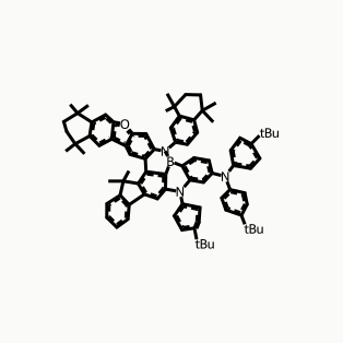 CC(C)(C)c1ccc(N(c2ccc(C(C)(C)C)cc2)c2ccc3c(c2)N(c2ccc(C(C)(C)C)cc2)c2cc4c(c5c2B3N(c2ccc3c(c2)C(C)(C)CCC3(C)C)c2cc3oc6cc7c(cc6c3cc2-5)C(C)(C)CCC7(C)C)C(C)(C)c2ccccc2-4)cc1